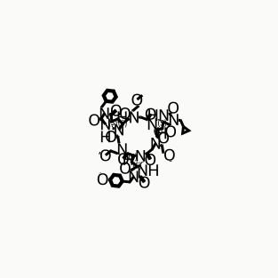 COCCN1CC(=O)N2C[C@]3(C[C@H]2C(=O)N(CCOC)CC(=O)N2C[C@]4(C[C@H]2C(=O)N(CCOC)CC(=O)N2C[C@]5(C[C@H]2C1=O)NC(=O)N(Cc1ccccc1)C5=O)NC(=O)N(Cc1ccc(OC)cc1)C4=O)NC(=O)N(CC1CC1)C3=O